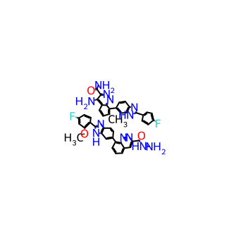 COc1cc(F)ccc1-c1nc2ccc(-c3cccc4cc(C(=O)NN)nnc34)cc2[nH]1.Cc1ccc2c(N)c(C(N)=O)nnc2c1-c1ccc2nc(-c3ccc(F)cc3)[nH]c2c1